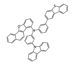 c1cc(-c2ccc3sc4ccccc4c3c2)cc(N(c2cccc(-n3c4ccccc4c4ccccc43)c2)c2cccc3oc4c5ccccc5ccc4c23)c1